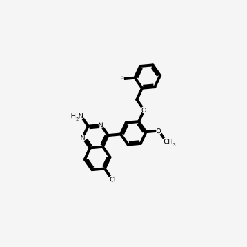 COc1ccc(-c2nc(N)nc3ccc(Cl)cc23)cc1OCc1ccccc1F